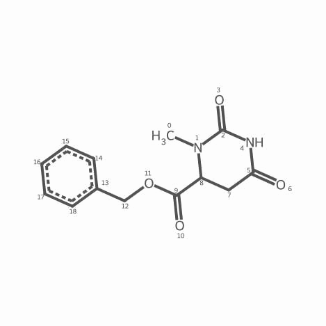 CN1C(=O)NC(=O)CC1C(=O)OCc1ccccc1